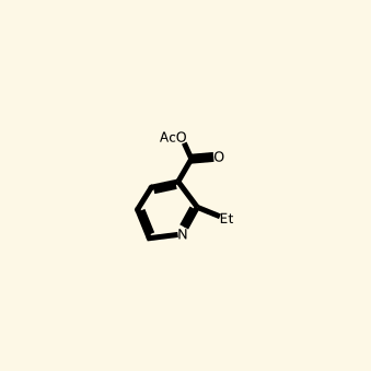 CCc1ncccc1C(=O)OC(C)=O